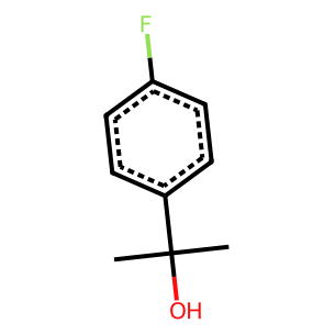 CC(C)(O)c1ccc(F)cc1